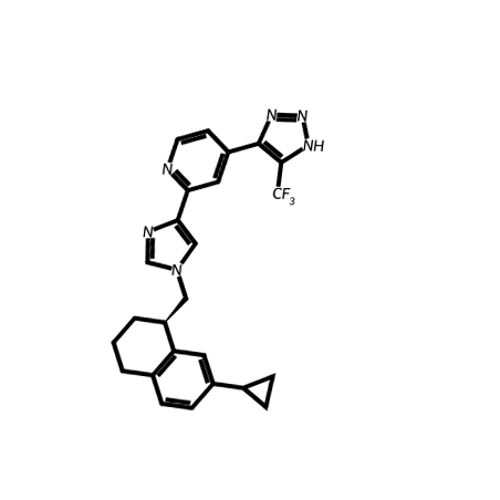 FC(F)(F)c1[nH]nnc1-c1ccnc(-c2cn(C[C@@H]3CCCc4ccc(C5CC5)cc43)cn2)c1